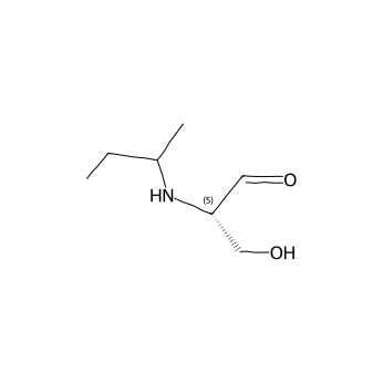 CCC(C)N[C@H](C=O)CO